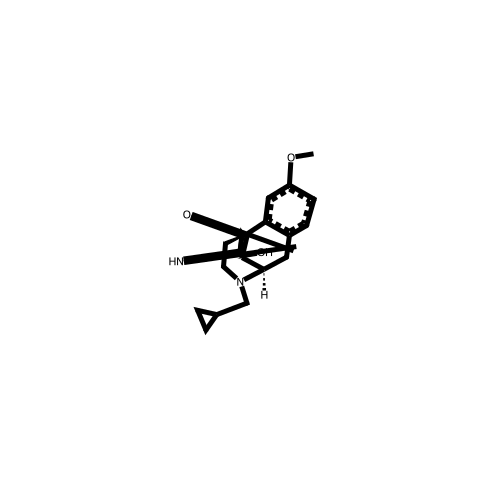 COc1ccc2c(c1)[C@]13CCN(CC4CC4)[C@H](C2)[C@]1(O)CC(=N)C(=O)C3